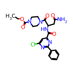 CCOC(=O)N1CCN(C(=O)C(CC(N)=O)NC(=O)c2cc(Cl)nc(-c3ccccc3)n2)CC1